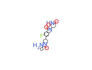 NC1(C(=O)N2CCC(c3cc4c(cc3F)C(=O)N(C3CCC(=O)NC3=O)C4)CC2)CCC1